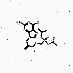 C=C(Cn1cnc2c(Cl)nc(N)nc21)[C@@H](C)OCP(=O)(OC(C)C)OC(C)C